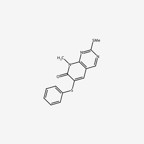 CSc1ncc2cc(Sc3ccccc3)c(=O)n(C)c2n1